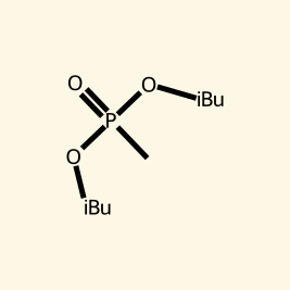 CCC(C)OP(C)(=O)OC(C)CC